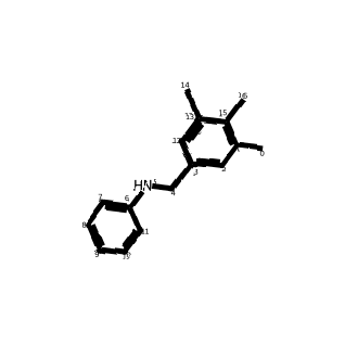 Cc1cc(CNc2cc[c]cc2)cc(C)c1C